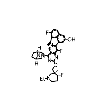 C#Cc1c(F)ccc2cc(O)cc(-c3ncc4c(N5C[C@H]6CC[C@@H](C5)N6)nc(OC[C@]5(C)CN(CC)CC[C@H]5F)nc4c3F)c12